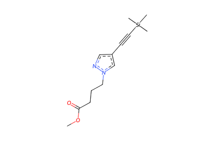 COC(=O)CCCn1cc(C#C[Si](C)(C)C)cn1